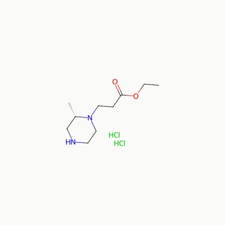 CCOC(=O)CCN1CCNC[C@@H]1C.Cl.Cl